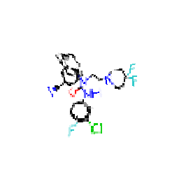 N#Cc1cccc([C@]23CC[C@@H](N(CCN4CCC(F)(F)CC4)C(=O)Nc4ccc(F)c(Cl)c4)CC2C3)c1